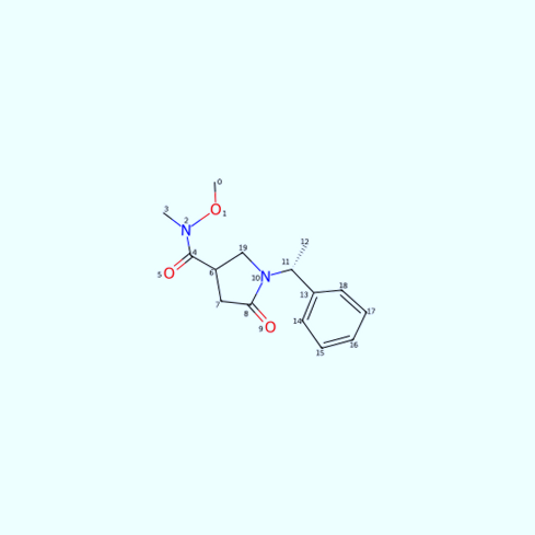 CON(C)C(=O)C1CC(=O)N([C@H](C)c2ccccc2)C1